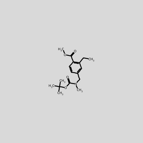 CCc1cc(CN(C)C(=O)OC(C)(C)C)ccc1C(=O)OC